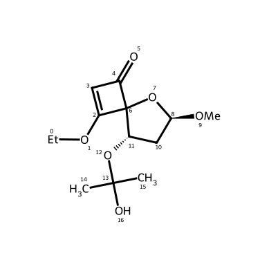 CCOC1=CC(=O)C12O[C@@H](OC)C[C@@H]2OC(C)(C)O